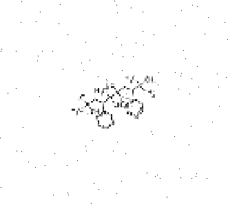 CC(C)(C)CC(c1ccccc1)C(C)(C)C(C)(C)CC(c1ccncc1)C(C)(C)C